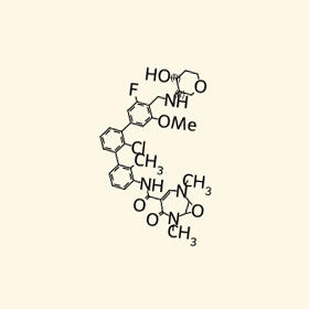 COc1cc(-c2cccc(-c3cccc(NC(=O)C4=CN(C)C5OC5N(C)C4=O)c3C)c2Cl)cc(F)c1CN[C@@H]1COCC[C@H]1O